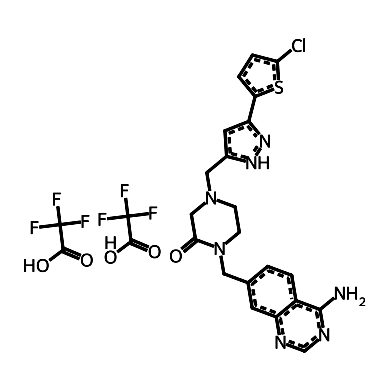 Nc1ncnc2cc(CN3CCN(Cc4cc(-c5ccc(Cl)s5)n[nH]4)CC3=O)ccc12.O=C(O)C(F)(F)F.O=C(O)C(F)(F)F